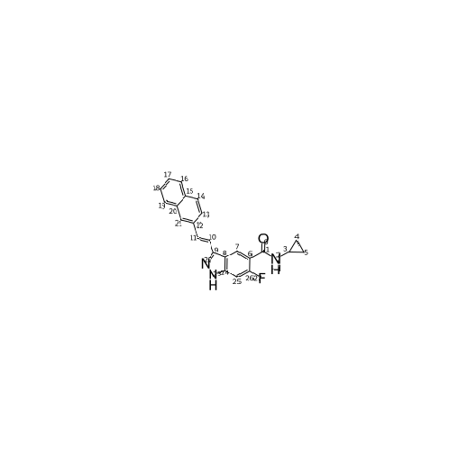 O=C(NC1CC1)c1cc2c(/C=C/c3ccc4ccccc4c3)n[nH]c2cc1F